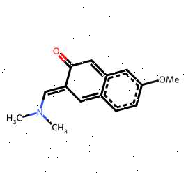 COc1ccc2c(c1)=CC(=O)C(=CN(C)C)C=2